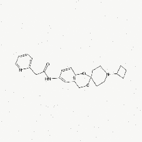 O=C(Cc1ccccn1)Nc1ccc2c(c1)COC1(CCN(C3CCC3)CC1)O2